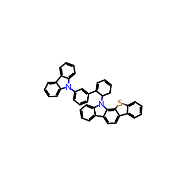 C1=CCC(n2c3ccccc3c3ccc4c5ccccc5sc4c32)C(c2cccc(-n3c4ccccc4c4ccccc43)c2)=C1